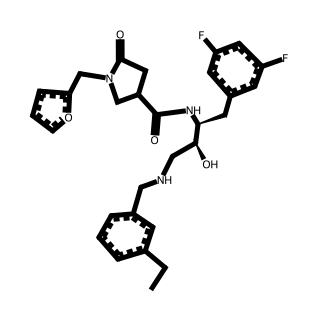 CCc1cccc(CNC[C@H](O)[C@H](Cc2cc(F)cc(F)c2)NC(=O)C2CC(=O)N(Cc3ccco3)C2)c1